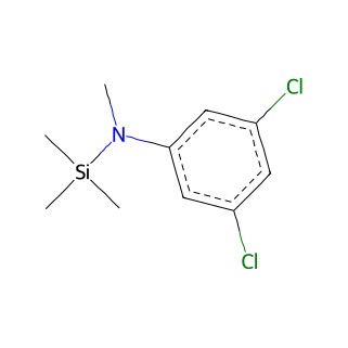 CN(c1cc(Cl)cc(Cl)c1)[Si](C)(C)C